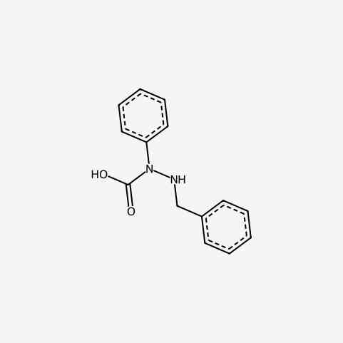 O=C(O)N(NCc1ccccc1)c1ccccc1